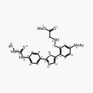 COC(=O)CNSc1cc(NC(C)=O)ccc1-c1cnc(-c2ccc(NC(=S)NC(C)C)cc2)s1